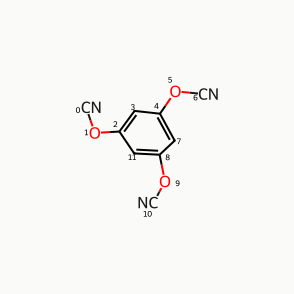 N#COc1cc(OC#N)cc(OC#N)c1